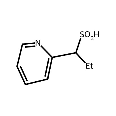 CCC(c1ccccn1)S(=O)(=O)O